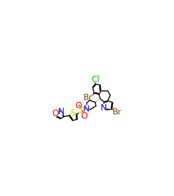 O=S(=O)(c1ccc(-c2ccon2)s1)N1CCC([C@H]2c3ncc(Br)cc3CCc3cc(Cl)cc(Br)c32)CC1